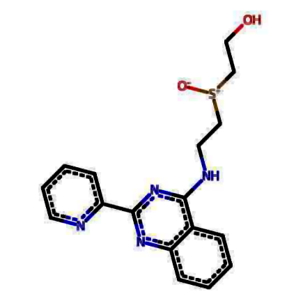 [O-][S+](CCO)CCNc1nc(-c2ccccn2)nc2ccccc12